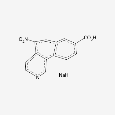 O=C(O)c1ccc2c(c1)cc([N+](=O)[O-])c1ccncc12.[NaH]